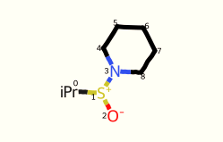 CC(C)[S+]([O-])N1CCCCC1